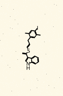 C=C(S/C=C/Cc1cc(C)c(I)cc1C)c1c[nH]c2ccccc12